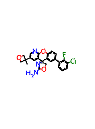 CC1(c2cnc3c(c2)[C@]2(COC(N)=N2)c2cc(-c4cccc(Cl)c4F)ccc2O3)COC1